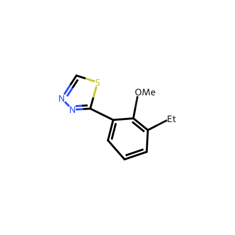 CCc1cccc(-c2nncs2)c1OC